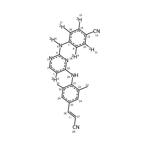 [2H]c1cnc(N([2H])c2c([2H])c([2H])c(C#N)c([2H])c2[2H])nc1Nc1c(C)cc(/C=C/C#N)cc1C